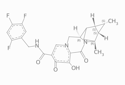 C[C@H]1[C@H]2C3C[C@](C)([C@@H]12)N1C(=O)c2c(O)c(=O)c(C(=O)NCc4cc(F)c(F)cc4F)cn2C[C@@H]31